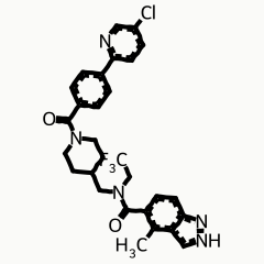 Cc1c(C(=O)N(CC2CCN(C(=O)c3ccc(-c4ccc(Cl)cn4)cc3)CC2)CC(F)(F)F)ccc2n[nH]cc12